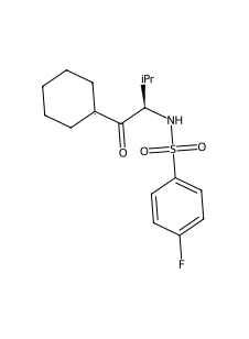 CC(C)[C@@H](NS(=O)(=O)c1ccc(F)cc1)C(=O)[C]1CCCCC1